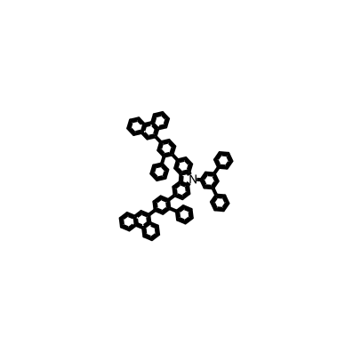 c1ccc(-c2cc(-c3ccccc3)cc(-n3c4ccc(-c5ccc(-c6cc7ccccc7c7ccccc67)cc5-c5ccccc5)cc4c4cc(-c5ccc(-c6cc7ccccc7c7ccccc67)cc5-c5ccccc5)ccc43)c2)cc1